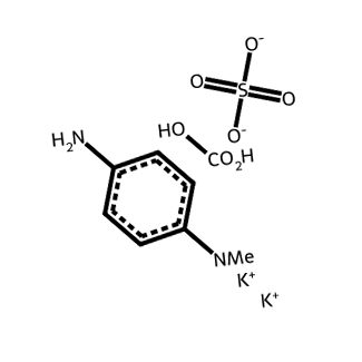 CNc1ccc(N)cc1.O=C(O)O.O=S(=O)([O-])[O-].[K+].[K+]